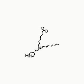 CCCCCCCCCN(CCCCCCCC(=O)OC)CCC1CCNCC1